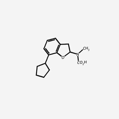 CN(C(=O)O)C1Cc2cccc(C3CCCC3)c2O1